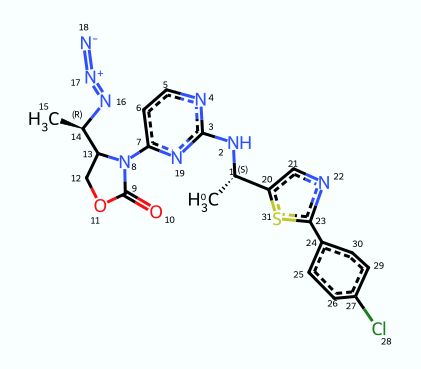 C[C@H](Nc1nccc(N2C(=O)OCC2[C@@H](C)N=[N+]=[N-])n1)c1cnc(-c2ccc(Cl)cc2)s1